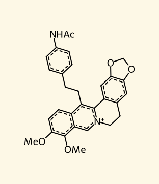 COc1ccc2c(CCc3ccc(NC(C)=O)cc3)c3[n+](cc2c1OC)CCc1cc2c(cc1-3)OCO2